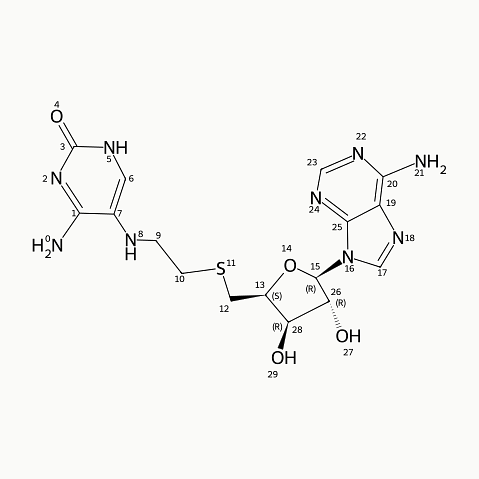 Nc1nc(=O)[nH]cc1NCCSC[C@H]1O[C@@H](n2cnc3c(N)ncnc32)[C@H](O)[C@H]1O